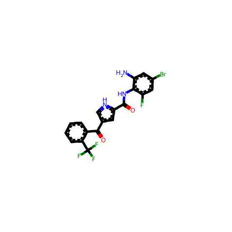 Nc1cc(Br)cc(F)c1NC(=O)c1cc(C(=O)c2ccccc2C(F)(F)F)c[nH]1